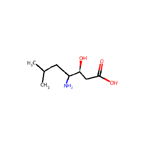 CC(C)CC(N)[C@@H](O)CC(=O)O